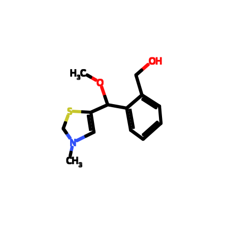 COC(C1=CN(C)CS1)c1ccccc1CO